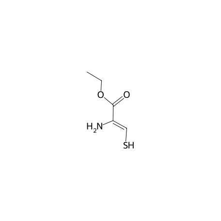 CCOC(=O)/C(N)=C/S